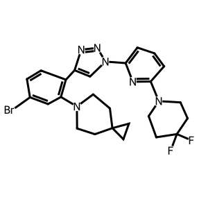 FC1(F)CCN(c2cccc(-n3cc(-c4ccc(Br)cc4N4CCC5(CC4)CC5)nn3)n2)CC1